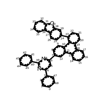 c1ccc(-c2cc(-c3ccc4c(c3)c3ccccc3c3cccc(-c5ccc6c(c5)oc5ccccc56)c34)nc(-c3ccccc3)n2)cc1